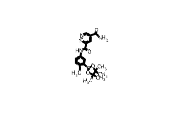 Cc1ccc(NC(=O)c2cc(C(N)=O)cnn2)cc1B1OC(C)(C)C(C)(C)O1